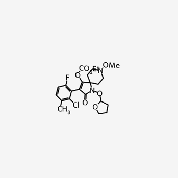 CCOC(=O)OC1=C(c2c(F)ccc(C)c2Cl)C(=O)N(OC2CCCO2)C12CCN(OC)CC2